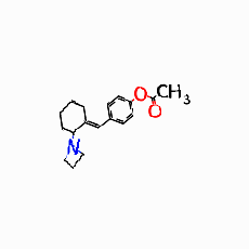 CC(=O)Oc1ccc(C=C2CCCCC2N2CCC2)cc1